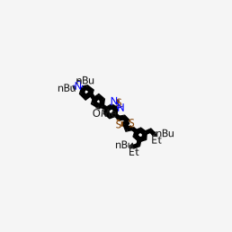 CCCCC(CC)Cc1cc(CC(CC)CCCC)cc(-c2cc3sc(-c4ccc(-c5ccc(-c6ccc(N(CCCC)CCCC)cc6)cc5OC)c5nsnc45)cc3s2)c1